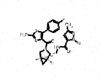 CCn1nc(C)cc1C(=O)NC[C@@H]1[C@H]2C[C@H]2CN1C(=O)c1nc(C)sc1-c1ccc(F)cc1